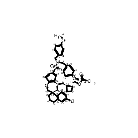 COc1ccc(CN(Cc2ccc(OC)cc2)S(=O)(=O)c2ccc3c(c2)N(C[C@@H]2CC[C@H]2COC(C)=O)C[C@@]2(CCCc4cc(Cl)ccc42)CO3)cc1